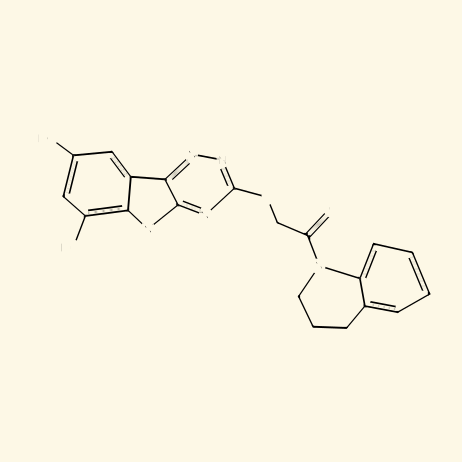 Cc1cc(C)c2[nH]c3nc(SCC(=O)N4CCCc5ccccc54)nnc3c2c1